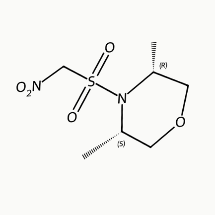 C[C@@H]1COC[C@H](C)N1S(=O)(=O)C[N+](=O)[O-]